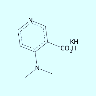 CN(C)c1ccncc1C(=O)O.[KH]